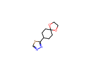 c1nnc(C2CCC3(CC2)OCCO3)s1